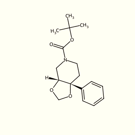 CC(C)(C)OC(=O)N1CC[C@]2(c3ccccc3)OCO[C@@H]2C1